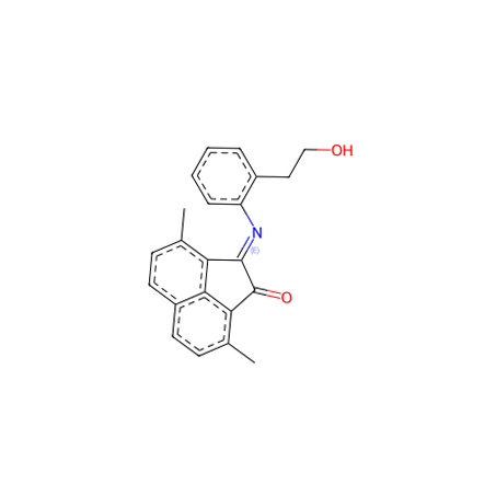 Cc1ccc2ccc(C)c3c2c1C(=O)/C3=N/c1ccccc1CCO